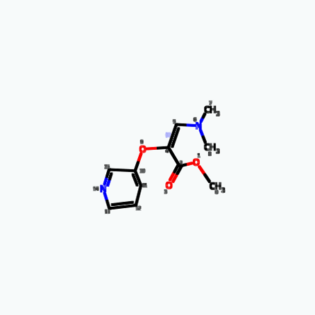 COC(=O)/C(=C\N(C)C)Oc1cccnc1